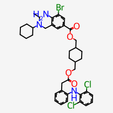 CCN(Cc1cc(C(=O)OCC2CCC(COC(=O)Cc3ccccc3Nc3c(Cl)cccc3Cl)CC2)cc(Br)c1N)C1CCCCC1